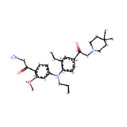 CCCN(c1ccc(C(=O)CN)c(OC)c1)c1ccc(C(=O)CN2CCC(C)(C)CC2)cc1CC